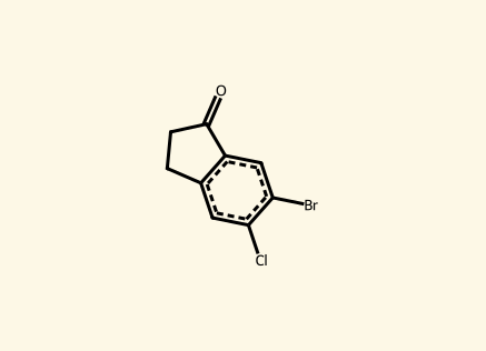 O=C1CCc2cc(Cl)c(Br)cc21